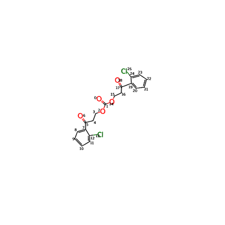 O=C(OCCC(=O)c1ccccc1Cl)OCCC(=O)c1ccccc1Cl